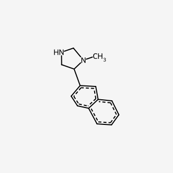 CN1CNCC1c1ccc2ccccc2c1